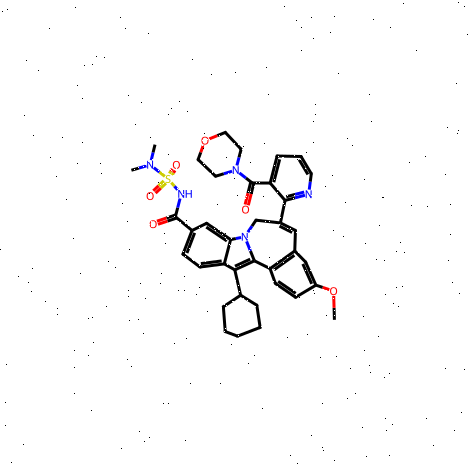 COc1ccc2c(c1)C=C(c1ncccc1C(=O)N1CCOCC1)Cn1c-2c(C2CCCCC2)c2ccc(C(=O)NS(=O)(=O)N(C)C)cc21